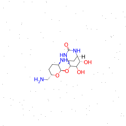 NC[C@@H]1CC[C@@H](N)[C@@H](OC2C3C[C@@H](NC(=O)N3)[C@H](O)C2O)O1